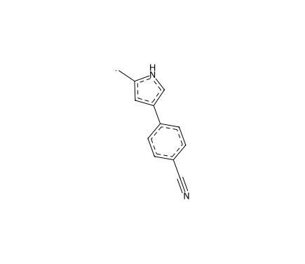 [CH2]c1cc(-c2ccc(C#N)cc2)c[nH]1